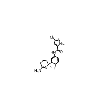 Cn1nc(Cl)cc1C(=O)NC1=CC([C@]2(C)CCSC(N)=N2)C(F)C=C1